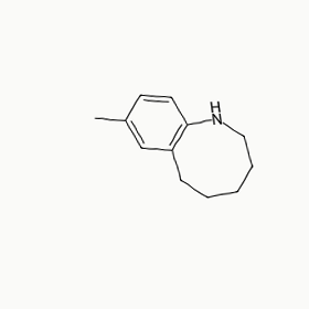 Cc1ccc2c(c1)CCCCCN2